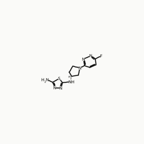 Nc1nnc(N[C@@H]2CCN(c3ccc(F)nn3)C2)s1